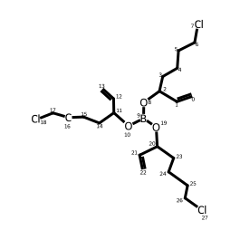 C=CC(CCCCCl)OB(OC(C=C)CCCCCl)OC(C=C)CCCCCl